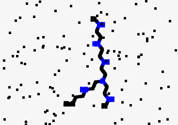 CCNCCNCCNCCN(CCNCC)CCNCCNC